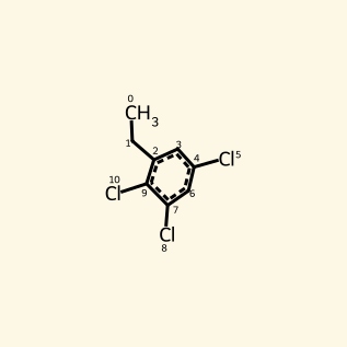 CCc1cc(Cl)cc(Cl)c1Cl